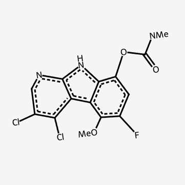 CNC(=O)Oc1cc(F)c(OC)c2c1[nH]c1ncc(Cl)c(Cl)c12